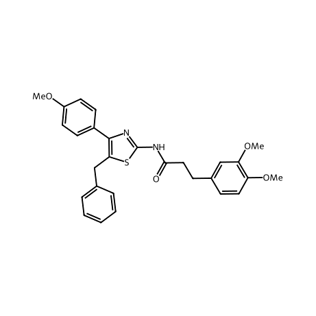 COc1ccc(-c2nc(NC(=O)CCc3ccc(OC)c(OC)c3)sc2Cc2ccccc2)cc1